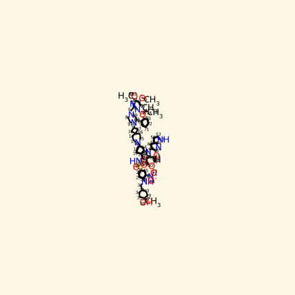 COc1cnc(CN2CCN(C3CC4(CCN(c5ccc(C(=O)NS(=O)(=O)c6ccc(NCC7CCC(C)(O)CC7)c([N+](=O)[O-])c6)c(N6c7cc8cc[nH]c8nc7O[C@H]7COCC[C@@H]76)c5)CC4)C3)[C@@H](c3ccccc3OC(C)C)C2)nc1OC